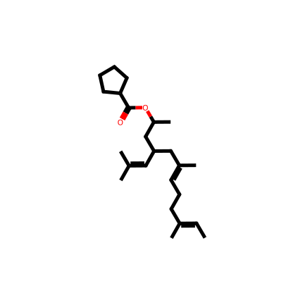 CC=C(C)CCC=C(C)CC(C=C(C)C)CC(C)OC(=O)C1CCCC1